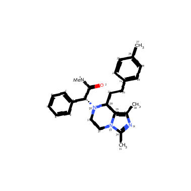 CNC(=O)[C@@H](c1ccccc1)N1CCn2c(C)nc(C)c2C1CCc1ccc(C)cc1